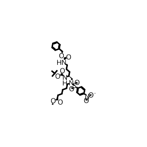 COC(=O)CCCCCN(C[C@H](CCCNC(=O)OCc1ccccc1)NC(=O)OC(C)(C)C)S(=O)(=O)c1ccc([N+](=O)[O-])cc1